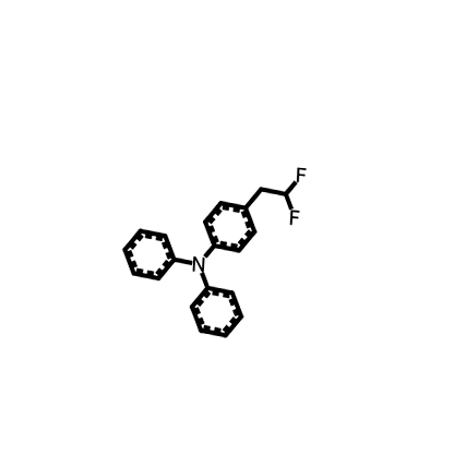 FC(F)Cc1ccc(N(c2ccccc2)c2ccccc2)cc1